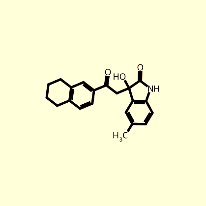 Cc1ccc2c(c1)C(O)(CC(=O)c1ccc3c(c1)CCCC3)C(=O)N2